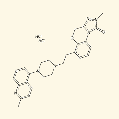 Cc1ccc2c(N3CCN(CCc4cccc5c4OCc4nn(C)c(=O)n4-5)CC3)cccc2n1.Cl.Cl